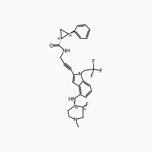 CN1CC[C@@H](Nc2cccc3c2cc(C#CCNC(=O)[C@@H]2C[C@H]2c2ccccc2)n3CC(F)(F)F)[C@@H](F)C1